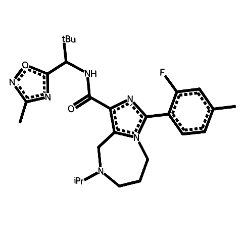 Cc1ccc(-c2nc(C(=O)NC(c3nc(C)no3)C(C)(C)C)c3n2CCCN(C(C)C)C3)c(F)c1